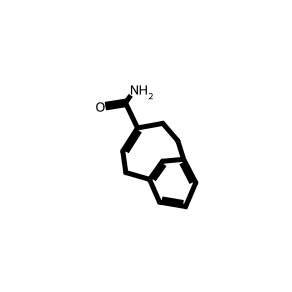 NC(=O)/C1=C/Cc2cccc(c2)CC1